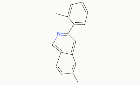 Cc1ccc2cnc(-c3ccccc3C)cc2c1